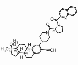 C#Cc1cc2c(cc1N1CCN(C(=O)[C@@H]3CCCN3C(=O)c3ccc4ccccc4n3)CC1)[C@H]1CC[C@@]3(C)[C@@H](CC[C@]3(C)O)[C@@H]1CC2